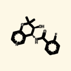 CC1(C)Oc2ccncc2[C@@H](NC(=O)c2ccccc2F)[C@@H]1O